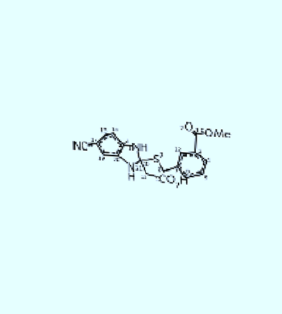 COC(=O)c1cccc(CSC2(CC(=O)O)Nc3ccc(C#N)cc3N2)c1